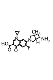 C[C@]12C[C@H](N)[C@@H]1CN(c1cc3c(cc1F)c(=O)c(C(=O)O)cn3C1CC1)C2